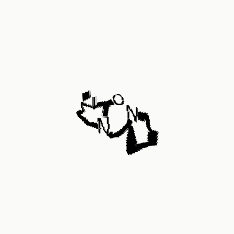 CN1CCN(Cc2ccccn2)C1=O